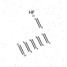 C=C.C=C.C=C.C=C.C=C.C=C.F